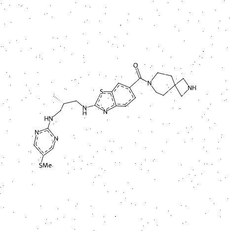 CSc1cnc(NC[C@H](C)CNc2nc3ccc(C(=O)N4CCC5(CC4)CNC5)cc3s2)nc1